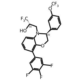 O[C@@H](CN1c2cccc(-c3cc(F)c(F)c(F)c3)c2OC[C@@H]1c1cccc(OC(F)(F)F)c1)C(F)(F)F